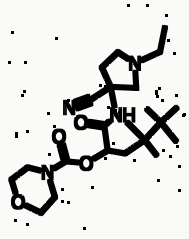 CCN1CCC(C#N)(NC(=O)C(CC(C)(C)C(C)(C)C)OC(=O)N2CCOCC2)C1